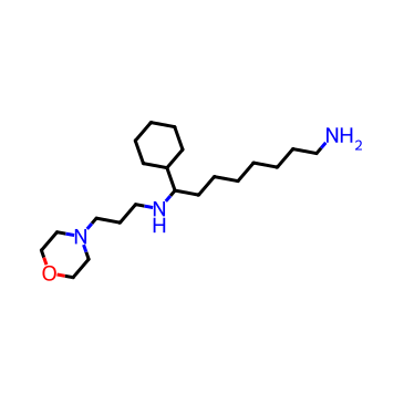 NCCCCCCCC(NCCCN1CCOCC1)C1CCCCC1